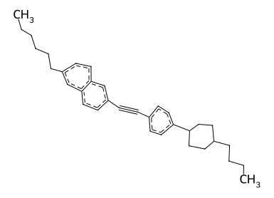 CCCCCCc1ccc2cc(C#Cc3ccc(C4CCC(CCCC)CC4)cc3)ccc2c1